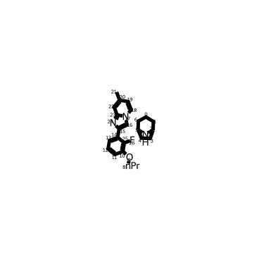 C1CC2CCC(C1)N2.CCCOc1cccc(-c2cn3ccc(C)cc3n2)c1F